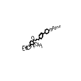 CCCCCC1CCC(c2ccc(CCCC(=O)c3ccc(OCC)c(F)c3O)cc2)CC1